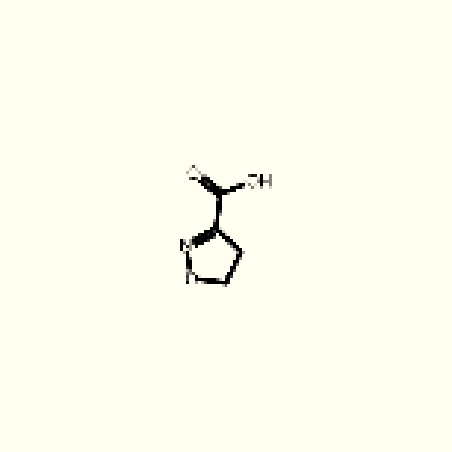 O=C(O)C1=NOCC1